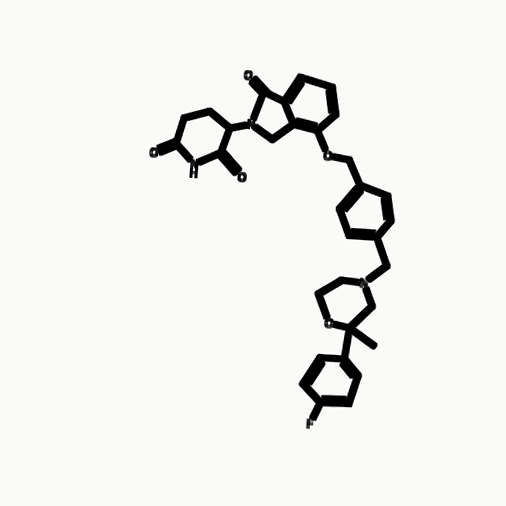 CC1(c2ccc(F)cc2)CN(Cc2ccc(COc3cccc4c3CN(C3CCC(=O)NC3=O)C4=O)cc2)CCO1